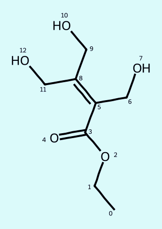 CCOC(=O)C(CO)=C(CO)CO